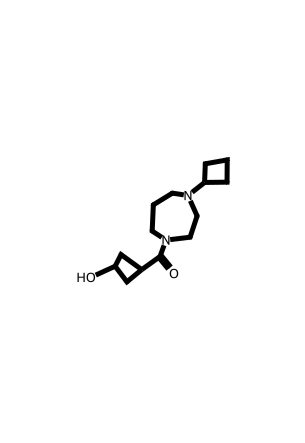 O=C(C1CC(O)C1)N1CCCN(C2CCC2)CC1